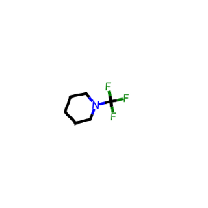 FC(F)(F)N1C[CH]CCC1